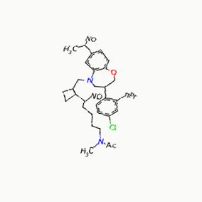 CCCc1cc(Cl)ccc1C1COc2ccc(C(C)N=O)cc2N(CC2CCC2C(CCCCN(C)C(C)=O)N=O)C1